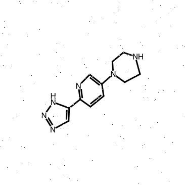 c1cc(-c2cnn[nH]2)ncc1N1CCNCC1